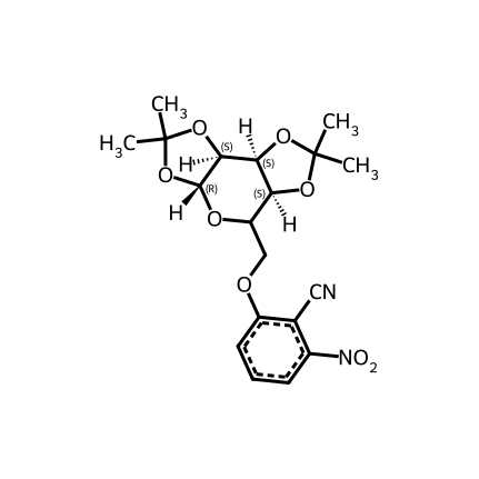 CC1(C)O[C@H]2OC(COc3cccc([N+](=O)[O-])c3C#N)[C@@H]3OC(C)(C)O[C@@H]3[C@@H]2O1